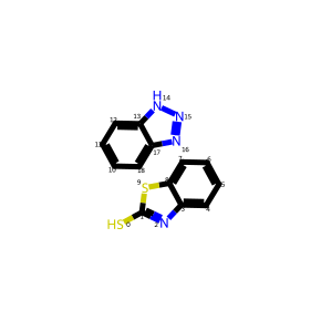 Sc1nc2ccccc2s1.c1ccc2[nH]nnc2c1